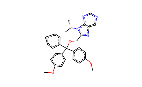 [CH2][C@@H](C)n1c(COC(c2ccccc2)(c2ccc(OC)cc2)c2ccc(OC)cc2)nc2cncnc21